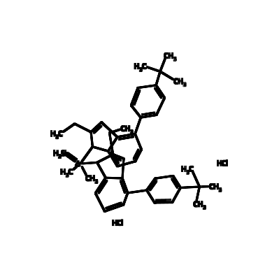 CCC1=Cc2c(-c3ccc(C(C)(C)C)cc3)cccc2[CH]1[Zr]([CH3])([CH3])(=[SiH2])[CH]1C(CC)=Cc2c(-c3ccc(C(C)(C)C)cc3)cccc21.Cl.Cl